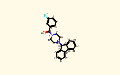 O=C(c1cccc(F)c1)N1CCN(C2c3ccccc3-c3ccccc32)CC1